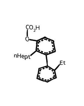 CCCCCCCc1c(OC(=O)O)cccc1-c1ccccc1CC